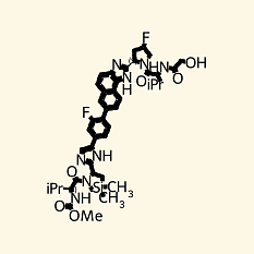 COC(=O)N[C@H](C(=O)N1C[Si](C)(C)CC1c1ncc(-c2ccc(-c3ccc4c(ccc5nc([C@@H]6CC(F)CN6C(=O)C(NC(=O)CO)C(C)C)[nH]c54)c3)c(F)c2)[nH]1)C(C)C